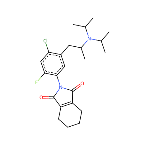 CC(C)N(C(C)C)C(C)Cc1cc(N2C(=O)C3=C(CCCC3)C2=O)c(F)cc1Cl